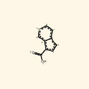 O=C(O)c1ccc2ccscc1-2